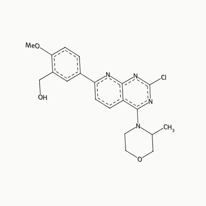 COc1ccc(-c2ccc3c(N4CCOCC4C)nc(Cl)nc3n2)cc1CO